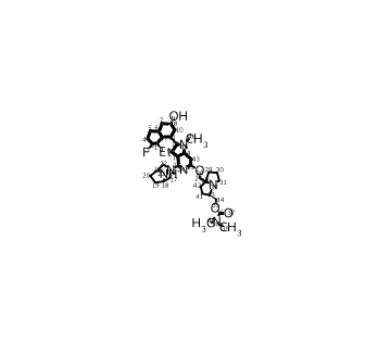 CCc1c(F)ccc2cc(O)cc(-c3cc4c(N5CC6CCC(C5)N6)nc(OCC56CCCN5[C@@H](COC(=O)N(C)C)CC6)cc4n3C)c12